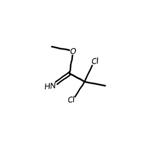 COC(=N)C(C)(Cl)Cl